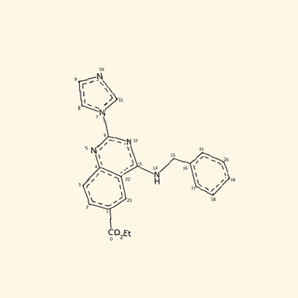 CCOC(=O)c1ccc2nc(-n3ccnc3)nc(NCc3ccccc3)c2c1